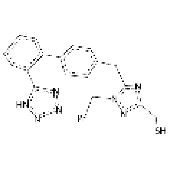 CC(C)Cn1nc(CS)nc1Cc1ccc(-c2ccccc2-c2nnn[nH]2)cc1